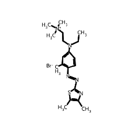 CCN(CC[N+](C)(C)C)c1ccc(N=Nc2nc(C)c(C)s2)c(C)c1.[Br-]